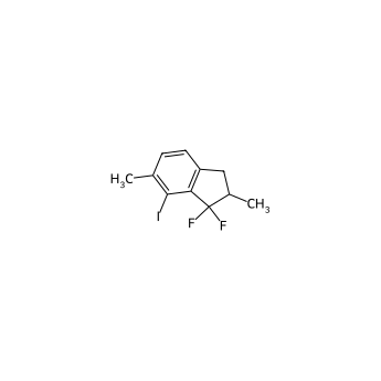 Cc1ccc2c(c1I)C(F)(F)C(C)C2